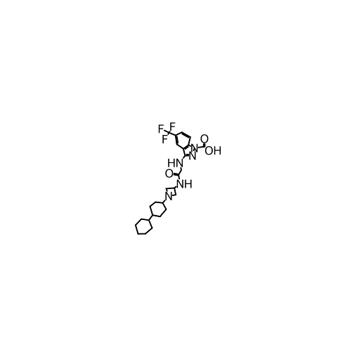 O=C(CNc1nn(C(=O)O)c2ccc(C(F)(F)F)cc12)NC1CN(C2CCC(C3CCCCC3)CC2)C1